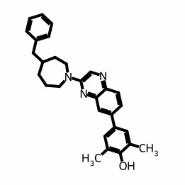 Cc1cc(-c2ccc3ncc(N4CCCC(Cc5ccccc5)CC4)nc3c2)cc(C)c1O